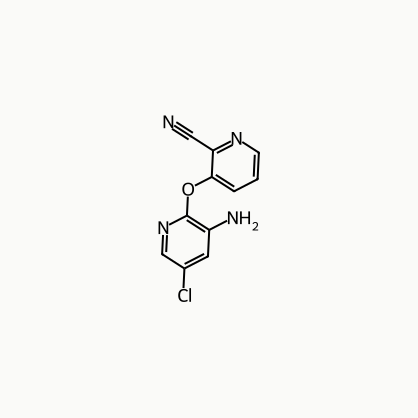 N#Cc1ncccc1Oc1ncc(Cl)cc1N